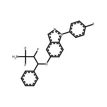 NC(F)(F)C(F)C(Oc1ccc2c(cnn2-c2ccc(F)cc2)c1)c1ccccc1